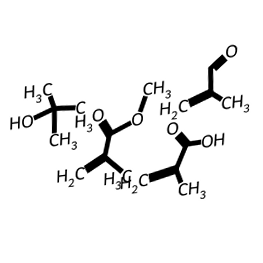 C=C(C)C(=O)O.C=C(C)C(=O)OC.C=C(C)C=O.CC(C)(C)O